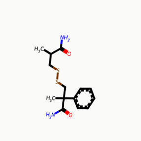 CC(CSSCC(C)(C(N)=O)c1ccccc1)C(N)=O